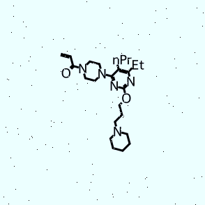 C=CC(=O)N1CCN(c2nc(OCCCN3CCCCC3)nc(CC)c2CCC)CC1